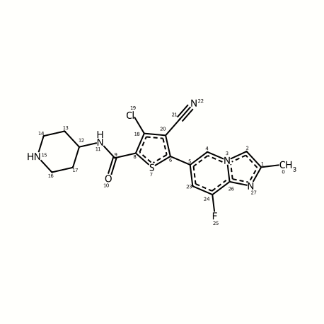 Cc1cn2cc(-c3sc(C(=O)NC4CCNCC4)c(Cl)c3C#N)cc(F)c2n1